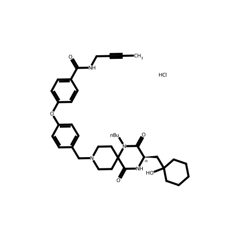 CC#CCNC(=O)c1ccc(Oc2ccc(CN3CCC4(CC3)C(=O)N[C@H](CC3(O)CCCCC3)C(=O)N4CCCC)cc2)cc1.Cl